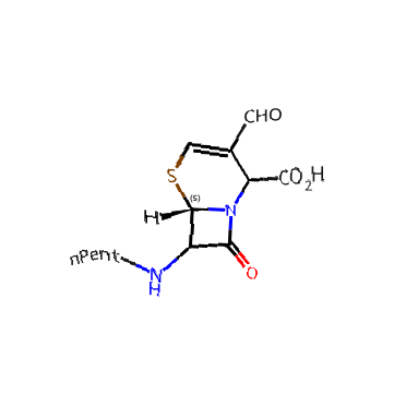 CCCCCNC1C(=O)N2C(C(=O)O)C(C=O)=CS[C@@H]12